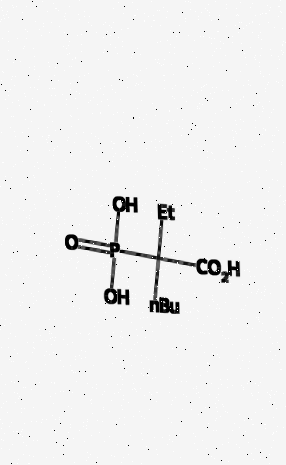 CCCCC(CC)(C(=O)O)P(=O)(O)O